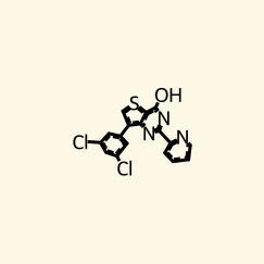 Oc1nc(-c2ccccn2)nc2c(-c3cc(Cl)cc(Cl)c3)csc12